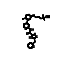 Cc1ccc(OCCCC(C)(C)O)cc1-c1ccnc(NC(=O)c2nnc(Cc3ccccn3)[nH]2)c1